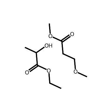 CCOC(=O)C(C)O.COCCC(=O)OC